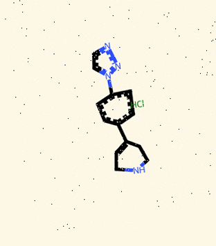 C1=C(c2ccc(-n3ccnn3)cc2)CCNC1.Cl